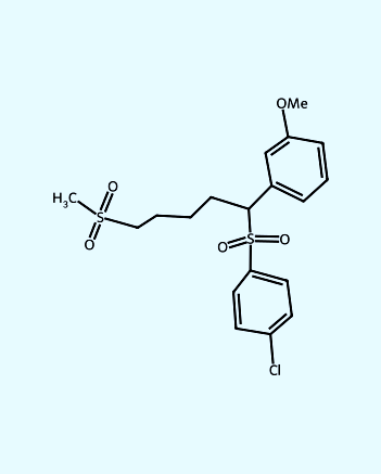 COc1cccc(C(CCCCS(C)(=O)=O)S(=O)(=O)c2ccc(Cl)cc2)c1